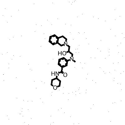 CN(CC(O)CN1CCc2ccccc2C1)c1cccc(C(=O)NC2CCOCC2)c1